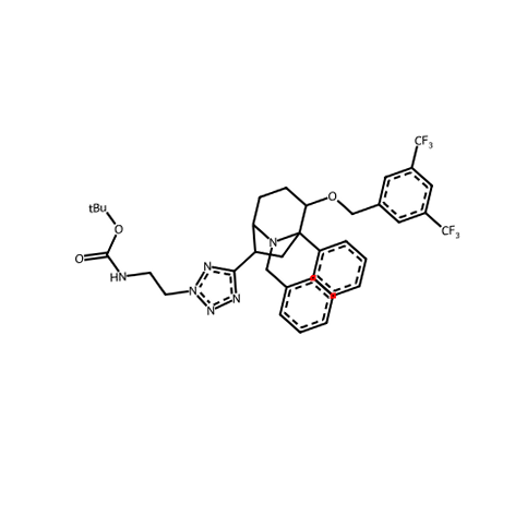 CC(C)(C)OC(=O)NCCn1nnc(C2CC3(c4ccccc4)C(OCc4cc(C(F)(F)F)cc(C(F)(F)F)c4)CCC2N3Cc2ccccc2)n1